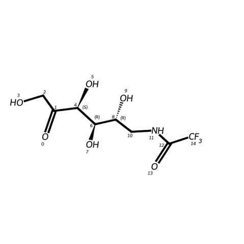 O=C(CO)[C@@H](O)[C@H](O)[C@H](O)CNC(=O)C(F)(F)F